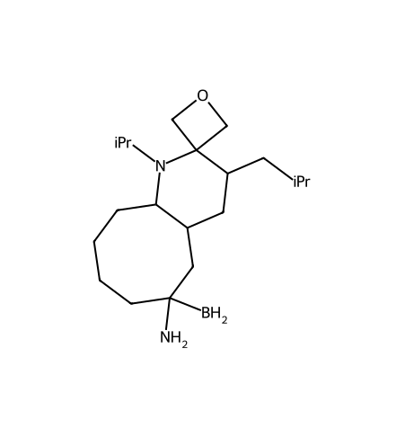 BC1(N)CCCCC2C(CC(CC(C)C)C3(COC3)N2C(C)C)C1